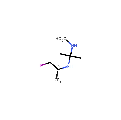 CC(C)(NC(=O)O)N[C@H](CI)C(F)(F)F